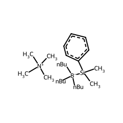 CCCC[B-](CCCC)(CCCC)[Si](C)(C)c1ccccc1.C[N+](C)(C)C